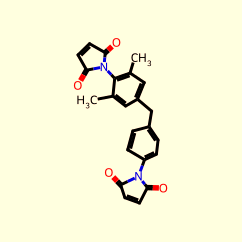 Cc1cc(Cc2ccc(N3C(=O)C=CC3=O)cc2)cc(C)c1N1C(=O)C=CC1=O